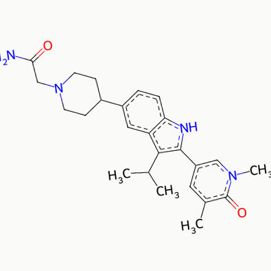 Cc1cc(-c2[nH]c3ccc(C4CCN(CC(N)=O)CC4)cc3c2C(C)C)cn(C)c1=O